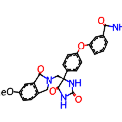 COc1ccc2c(c1)C(=O)N(C[C@@]1(c3ccc(Oc4cccc(C(N)=O)c4)cc3)NC(=O)NC1=O)C2